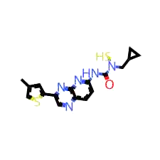 Cc1csc(-c2cnc3ccc(NC(=O)N(S)CC4CC4)nc3n2)c1